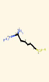 NC(N)CCCCCS